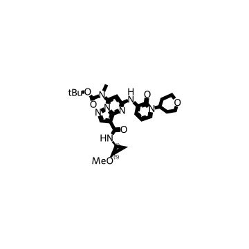 CO[C@H]1C[C@@H]1NC(=O)c1cnn2c(N(C)C(=O)OC(C)(C)C)cc(Nc3cccn(C4CCOCC4)c3=O)nc12